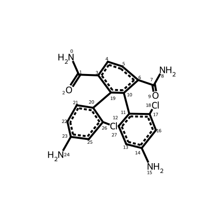 NC(=O)c1ccc(C(N)=O)c(-c2ccc(N)cc2Cl)c1-c1ccc(N)cc1Cl